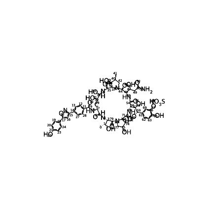 C[C@@H](O)[C@@H]1NC(=O)[C@@H](NC(=O)c2ccc(-c3cc(-c4ccc(O)cc4)on3)cc2)C[C@@H](O)[C@@H](O)NC(=O)[C@@H]2[C@@H](O)[C@@H](C)CN2C(=O)[C@H]([C@H](O)CC(N)=O)NC(=O)[C@H]([C@H](O)[C@@H](O)c2ccc(O)c(OS(=O)(=O)O)c2)NC(=O)[C@@H]2C[C@@H](O)CN2C1=O